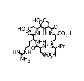 COC[C@@H](SSC[C@H](NC(=O)[C@H](CC(=O)O)NC(=O)[C@H](CC(=O)O)NC(=O)[C@H](CCCNC(=N)N)NC(=O)[C@@H](N)CC(=O)O)C(=O)O)C(C)C